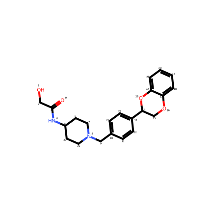 O=C(CO)NC1CCN(Cc2ccc(C3COc4ccccc4O3)cc2)CC1